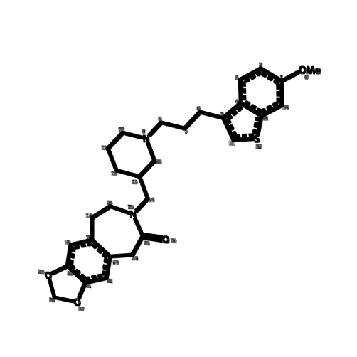 COc1ccc2c(CCCN3CCCC(CN4CCc5cc6c(cc5CC4=O)OCO6)C3)csc2c1